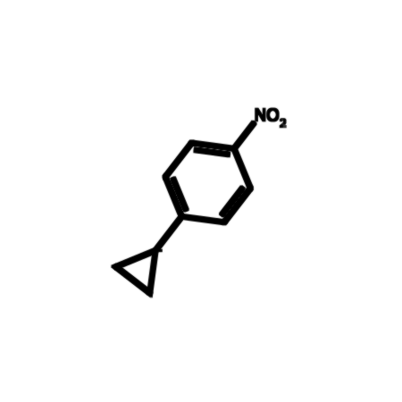 O=[N+]([O-])c1ccc([C]2CC2)cc1